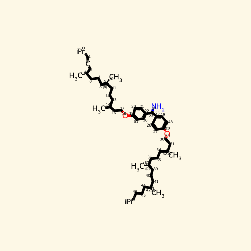 CC(C)CCC[C@@H](C)CCC[C@@H](C)CCCC(C)CCOc1ccc(C(N)c2ccc(OCCC(C)CCC[C@H](C)CCC[C@H](C)CCCC(C)C)cc2)cc1